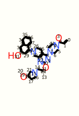 C=CC(=O)N1CCN(c2nc(O[C@H](C)CN3CC[C@H](OC)C3)nc3c2CCN(c2cc(O)cc4ccccc24)C3)CC1